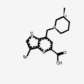 C[C@H]1CCCN(Cc2cc(C(=O)O)nc3c(Br)c[nH]c23)C1